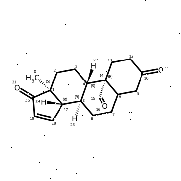 C[C@]12CC[C@H]3[C@@H](CCC4CC(=O)CC[C@@]43C=O)[C@@H]1C=CC2=O